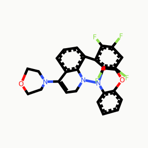 Fc1cc(F)c(F)c(-c2cccc3c2N(N2CCOc4ccccc42)CC=C3N2CCOCC2)c1F